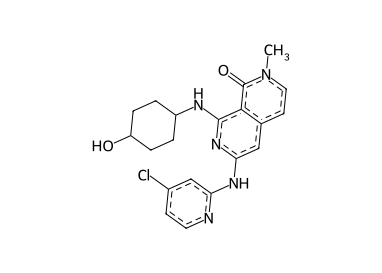 Cn1ccc2cc(Nc3cc(Cl)ccn3)nc(NC3CCC(O)CC3)c2c1=O